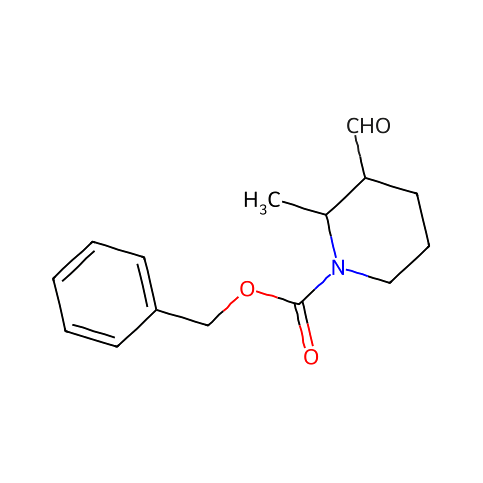 CC1C(C=O)CCCN1C(=O)OCc1ccccc1